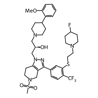 COc1ccccc1C1CCN(C[C@@H](O)Cn2nc(-c3ccc(C(F)(F)F)c(SCCN4CCC(F)CC4)c3)c3c2CCN(S(C)(=O)=O)C3)CC1